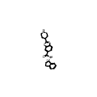 O=C(N[C@H]1CCc2ccccc21)c1ccc2nc(C3CCNCC3)sc2c1